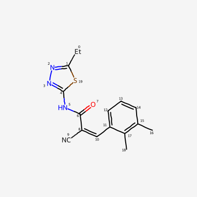 CCc1nnc(NC(=O)C(C#N)=Cc2cccc(C)c2C)s1